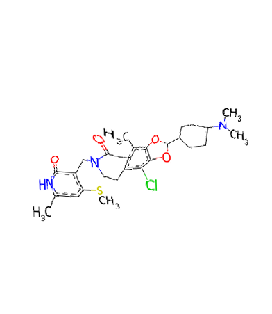 CSc1cc(C)[nH]c(=O)c1CN1CCc2c(Cl)c3c(c(C)c2C1=O)OC(C1CCC(N(C)C)CC1)O3